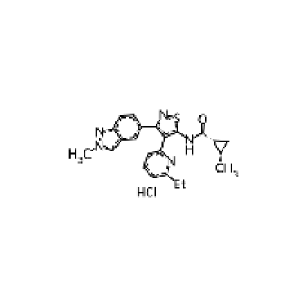 CCc1cccc(-c2c(-c3ccc4nn(C)cc4c3)nsc2NC(=O)[C@@H]2C[C@H]2C)n1.Cl